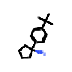 CC(C)(C)c1ccc(C2(N)CCCC2)cc1